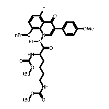 CCCOc1ccc(F)c2c(=O)c(-c3ccc(OC)cc3)cn(N(CC)C(=O)C(CCCCNC(=O)OC(C)(C)C)NC(=O)OC(C)(C)C)c12